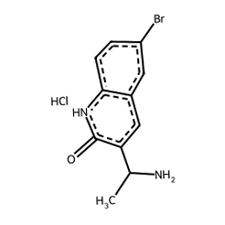 CC(N)c1cc2cc(Br)ccc2[nH]c1=O.Cl